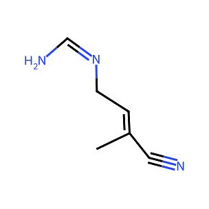 C/C(C#N)=C\C/N=C\N